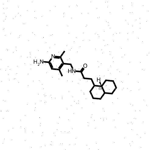 Cc1cc(N)nc(C)c1CNC(=O)[CH]CC1CCCC2CCCC[C@@H]12